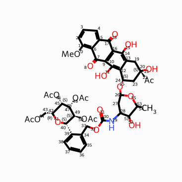 COc1cccc2c1C(=O)c1c(O)c3c(c(O)c1C2=O)C[C@@](O)(C(C)=O)C[C@@H]3OC1CC(NC(=O)OCc2ccccc2[C@@H]2O[C@H](COC(C)=O)[C@H](OC(C)=O)[C@H](OC(C)=O)[C@H]2OC(C)=O)C(O)C(C)O1